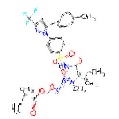 CC[C@@H](C)[C@@H](C(=O)NS(=O)(=O)c1ccc(-n2nc(C(F)(F)F)cc2-c2ccc(C)cc2)cc1)N(C)/[N+]([O-])=N/OCOC(=O)C(C)C